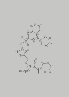 CCCCCCCN(CCc1csc(SC(C)(C)C(=O)ON(C2CCCCC2)C2CCCCC2)n1)C(=O)NC1CCCCC1